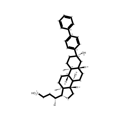 C[C@H](CCC(=O)O)[C@H]1CC[C@H]2[C@@H]3CC[C@H]4C[C@](O)(c5ccc(-c6ccccc6)cc5)CC[C@]4(C)[C@H]3CC[C@]12C